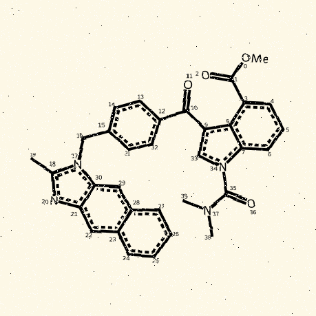 COC(=O)c1cccc2c1c(C(=O)c1ccc(Cn3c(C)nc4cc5ccccc5cc43)cc1)cn2C(=O)N(C)C